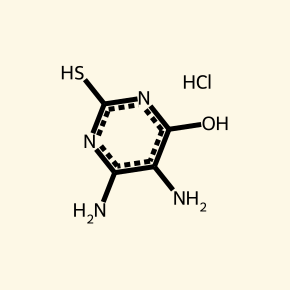 Cl.Nc1nc(S)nc(O)c1N